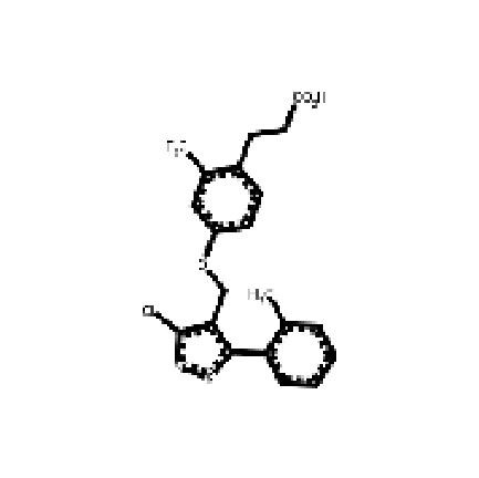 Cc1ccccc1-c1snc(Cl)c1COc1ccc(CCC(=O)O)c(C(F)(F)F)c1